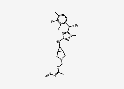 C=N/N=C(/C)OCN1CC2C(C1)C2Nc1nc(C(CCC)c2ccc(C)c(F)c2F)n(C)n1